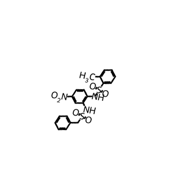 Cc1ccccc1S(=O)(=O)Nc1ccc([N+](=O)[O-])cc1NS(=O)(=O)Cc1ccccc1